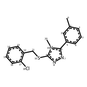 Cc1cccc(-c2nnc(SCc3ccccc3Cl)n2C)c1